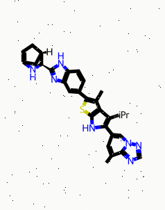 Cc1c(-c2ccc3[nH]c([C@H]4NC5=CC[C@H]4C5)nc3c2)sc2[nH]c(-c3cc(C)c4ncnn4c3)c(C(C)C)c12